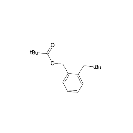 CC(C)(C)Cc1ccccc1COC(=O)C(C)(C)C